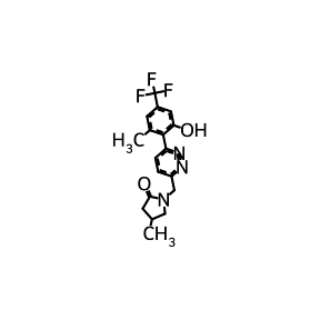 Cc1cc(C(F)(F)F)cc(O)c1-c1ccc(CN2CC(C)CC2=O)nn1